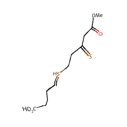 COC(=O)CC(=S)CC[SH]=CCCC(=O)O